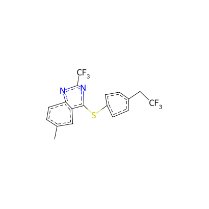 Cc1ccc2nc(C(F)(F)F)nc(Sc3ccc(CC(F)(F)F)cc3)c2c1